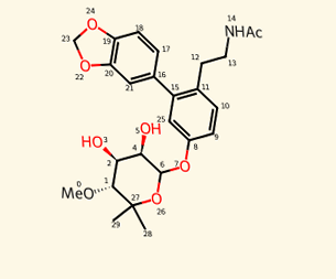 CO[C@@H]1[C@@H](O)[C@@H](O)C(Oc2ccc(CCNC(C)=O)c(-c3ccc4c(c3)OCO4)c2)OC1(C)C